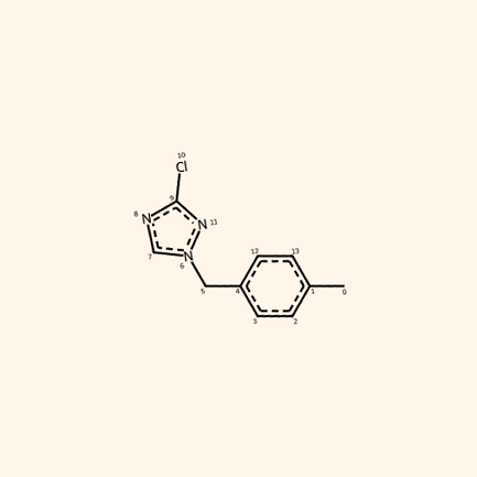 Cc1ccc(Cn2cnc(Cl)n2)cc1